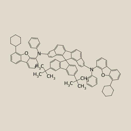 CC(C)(C)c1ccc2c(c1)-c1cc(C(C)(C)C)ccc1C21c2c(ccc3cc(N(c4ccccc4)c4cccc5c4oc4c(C6CCCCC6)cccc45)ccc23)-c2ccc3cc(N(c4ccccc4)c4cccc5c4oc4c(C6CCCCC6)cccc45)ccc3c21